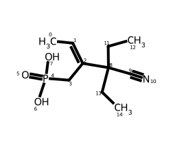 CC=C(CP(=O)(O)O)C(C#N)(CC)CC